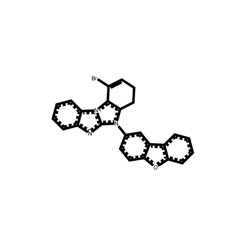 BrC1=CCCc2c1n1c3ccccc3nc1n2-c1ccc2oc3ccccc3c2c1